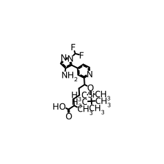 CC(CCCC(O[Si](C)(C)C(C)(C)C)c1cc(-c2c(N)cnn2C(F)F)ccn1)C(=O)O